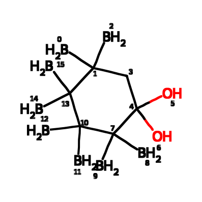 BC1(B)CC(O)(O)C(B)(B)C(B)(B)C1(B)B